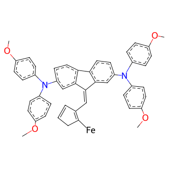 COc1ccc(N(c2ccc(OC)cc2)c2ccc3c(c2)C(=CC2=[C]([Fe])CC=C2)c2cc(N(c4ccc(OC)cc4)c4ccc(OC)cc4)ccc2-3)cc1